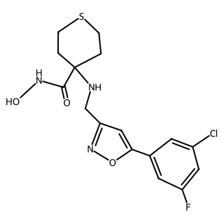 O=C(NO)C1(NCc2cc(-c3cc(F)cc(Cl)c3)on2)CCSCC1